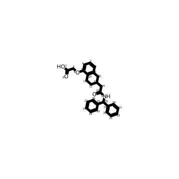 O=C(O)COc1cccc2c1CCC(CC(=O)NC(c1ccccc1)c1ccccc1)C2